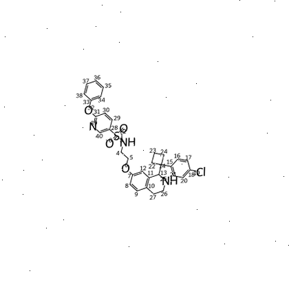 O=S(=O)(NCCOc1ccc2c(c1)C(C1(c3ccc(Cl)cc3)CCC1)NCC2)c1ccc(Oc2ccccc2)nc1